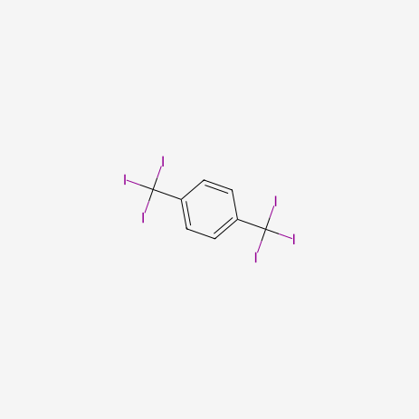 IC(I)(I)c1ccc(C(I)(I)I)cc1